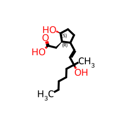 CCCCCC(C)(O)C=CC1CC[C@H](O)[C@@H]1CC(=O)O